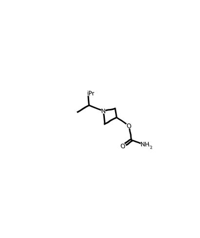 CC(C)C(C)N1CC(OC(N)=O)C1